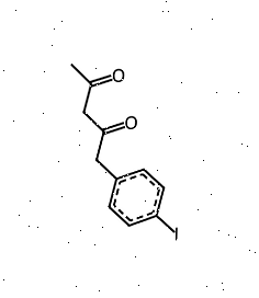 CC(=O)CC(=O)Cc1ccc(I)cc1